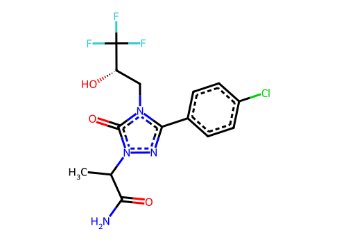 CC(C(N)=O)n1nc(-c2ccc(Cl)cc2)n(C[C@H](O)C(F)(F)F)c1=O